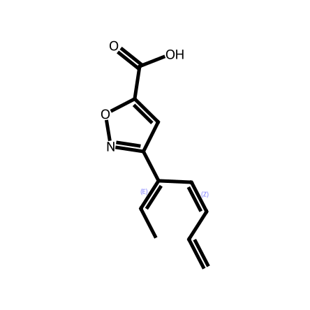 C=C/C=C\C(=C/C)c1cc(C(=O)O)on1